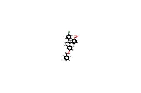 Oc1cccc(C2=C(c3ccc(F)cc3)CCc3cc(OCc4ccccc4)ccc32)c1